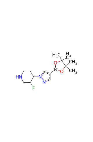 CC1(C)OB(c2cnn(C3CCNCC3F)c2)OC1(C)C